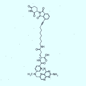 CN(Cc1cnc2nc(N)nc(N)c2n1)c1ccc(C(=O)N[C@@H](CCC(=O)NCCCCCCCC#Cc2cccc3c2C(=O)N(C2CCC(=O)NC2=O)C3=O)C(=O)O)cc1